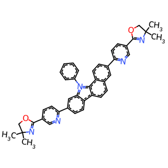 CC1(C)COC(c2ccc(-c3ccc4c(ccc5c6ccc(-c7ccc(C8=NC(C)(C)CO8)cn7)cc6n(-c6ccccc6)c45)c3)nc2)=N1